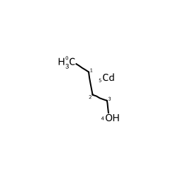 CCCCO.[Cd]